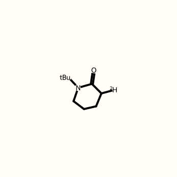 [2H]C1CCCN(C(C)(C)C)C1=O